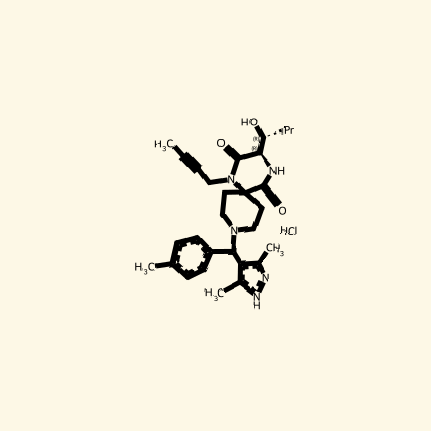 CC#CCN1C(=O)[C@@H]([C@H](O)C(C)C)NC(=O)C12CCN(C(c1ccc(C)cc1)c1c(C)n[nH]c1C)CC2.Cl